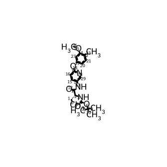 CC[C@@H](NC(=O)OC(C)(C)C)C(=O)Nc1ccc(Oc2ccc(C)c(OC)c2)nc1